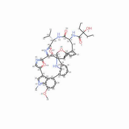 CCC(O)(CC)C(=O)N[C@H]1Cc2ccc3c(c2)C24c5cccc(c5NC2O3)-c2ccc(OC)c3c2c(cn3C)-c2cnc(o2)-c2nc(oc24)[C@H](C(C)C)NC1=O